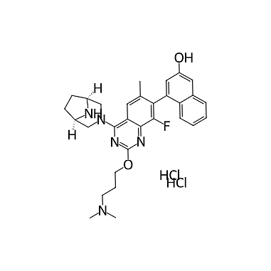 Cc1cc2c(N3C[C@H]4CC[C@@H](C3)N4)nc(OCCCN(C)C)nc2c(F)c1-c1cc(O)cc2ccccc12.Cl.Cl